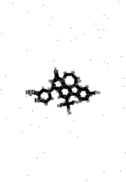 C=C1CN(c2nc(=O)n3c4c5c(c(C(F)(F)F)cc24)-c2ccc(F)cc2S5(F)CCC3)CCN1